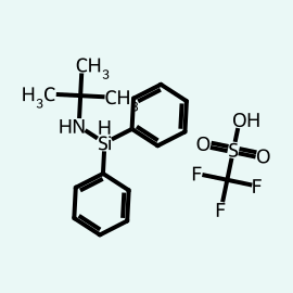 CC(C)(C)N[SiH](c1ccccc1)c1ccccc1.O=S(=O)(O)C(F)(F)F